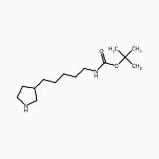 CC(C)(C)OC(=O)NCCCCCC1CCNC1